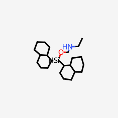 CCNCO[SiH](C1CCCC2CCCCC21)C1CCCC2CCCCC21